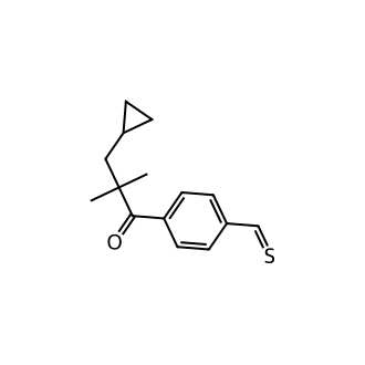 CC(C)(CC1CC1)C(=O)c1ccc(C=S)cc1